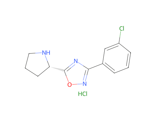 Cl.Clc1cccc(-c2noc([C@@H]3CCCN3)n2)c1